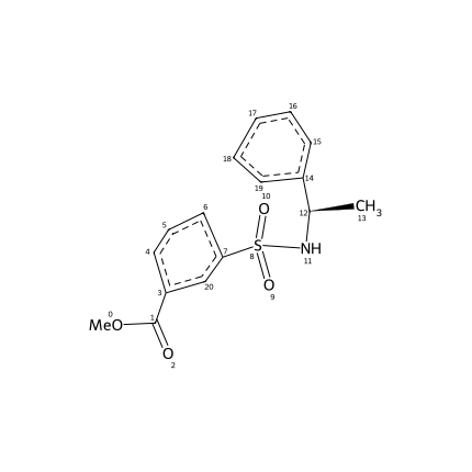 COC(=O)c1cccc(S(=O)(=O)N[C@H](C)c2ccccc2)c1